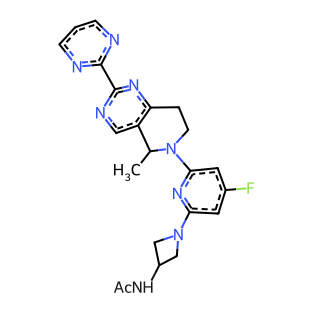 CC(=O)NC1CN(c2cc(F)cc(N3CCc4nc(-c5ncccn5)ncc4C3C)n2)C1